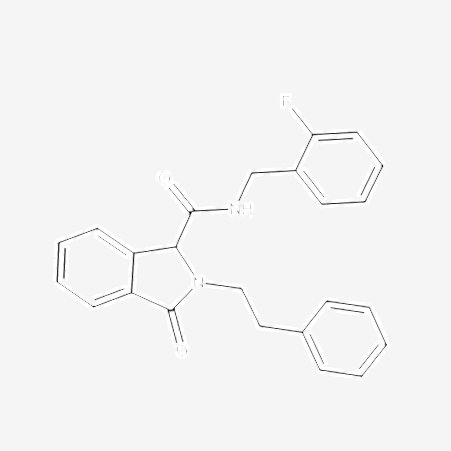 O=C(NCc1ccccc1F)C1c2ccccc2C(=O)N1CCc1ccccc1